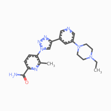 CCN1CCN(c2cncc(-c3cn(-c4c[c]c(C(N)=O)nc4C)nn3)c2)CC1